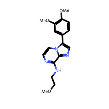 COCCNc1nccn2c(-c3ccc(OC)c(OC)c3)cnc12